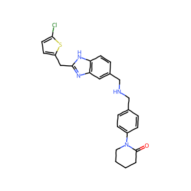 O=C1CCCCN1c1ccc(CNCc2ccc3[nH]c(Cc4ccc(Cl)s4)nc3c2)cc1